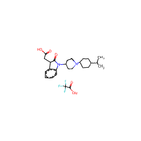 CC(C)C1CCC(N2CCC(N3C(=O)C(CC(=O)O)c4ccccc43)CC2)CC1.O=C(O)C(F)(F)F